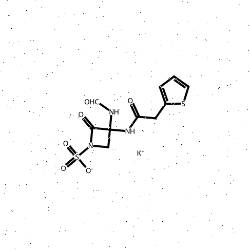 O=CNC1(NC(=O)Cc2cccs2)CN(S(=O)(=O)[O-])C1=O.[K+]